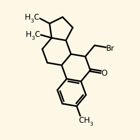 Cc1ccc2c(c1)C(=O)C(CBr)C1C2CCC2(C)C(C)CCC12